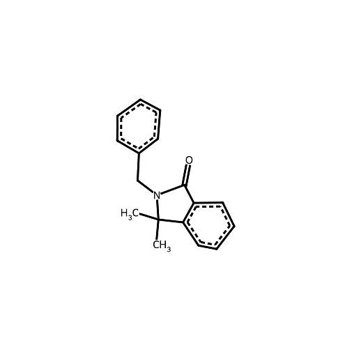 CC1(C)c2ccccc2C(=O)N1Cc1ccccc1